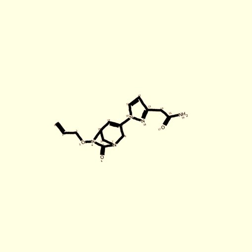 C=CCON1C(=O)N2CC(n3ccc(CC(N)=O)n3)=CC1C2